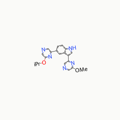 COc1cncc(-c2c[nH]c3ccc(-c4cncc(OC(C)C)n4)cc23)n1